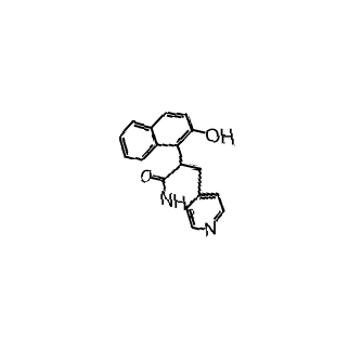 NC(=O)C(Cc1ccncc1)c1c(O)ccc2ccccc12